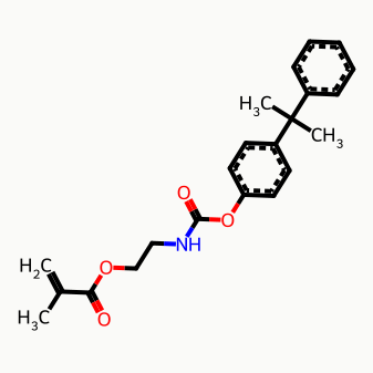 C=C(C)C(=O)OCCNC(=O)Oc1ccc(C(C)(C)c2ccccc2)cc1